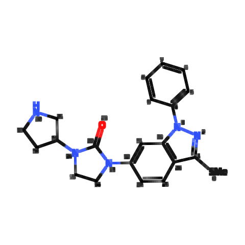 CSc1nn(-c2ccccc2)c2cc(N3CCN(C4CCNC4)C3=O)ccc12